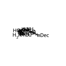 CCCCCCCCCCCCCCCC(=O)OCCSCC(N)C(=O)Nc1ccc(Cn2c(O)nc3c(N)nc(NCCCC)nc32)cc1